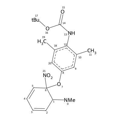 CNC1C=CC=CC1(Oc1cc(C)c(NC(=O)OC(C)(C)C)c(C)c1)[N+](=O)[O-]